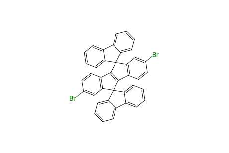 Brc1ccc2c(c1)C1(C3=C2C2(c4cc(Br)ccc43)c3ccccc3-c3ccccc32)c2ccccc2-c2ccccc21